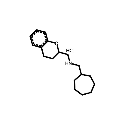 Cl.c1ccc2c(c1)CCC(CNCC1CCCCCC1)O2